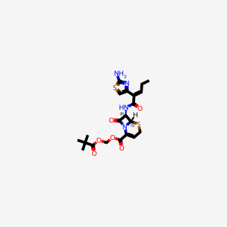 CCC=C(C(=O)N[C@@H]1C(=O)N2C(C(=O)OCOC(=O)C(C)(C)C)=CCS[C@@H]12)c1csc(N)n1